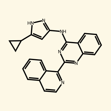 c1ccc2c(-c3nc(Nc4cc(C5CC5)[nH]n4)c4ccccc4n3)nccc2c1